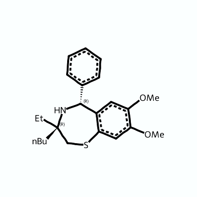 CCCC[C@]1(CC)CSc2cc(OC)c(OC)cc2[C@@H](c2ccccc2)N1